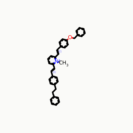 C[n+]1c(/C=C/c2ccc(CCc3ccccc3)cc2)cccc1/C=C/c1ccc(OCc2ccccc2)cc1